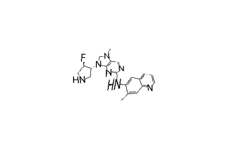 Cc1cc2ncccc2cc1Nc1ncc2c(n1)N([C@@H]1CNC[C@H]1F)CN2C